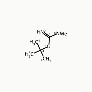 CNC(=N)OC(C)(C)C